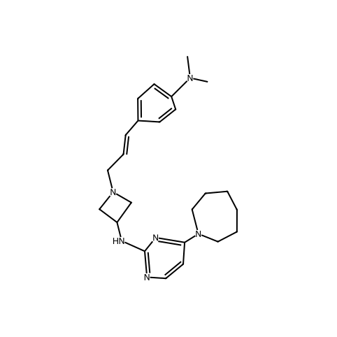 CN(C)c1ccc(/C=C/CN2CC(Nc3nccc(N4CCCCCC4)n3)C2)cc1